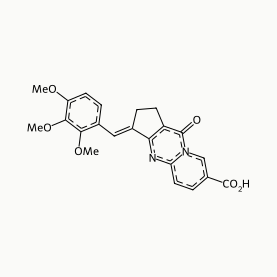 COc1ccc(/C=C2\CCc3c2nc2ccc(C(=O)O)cn2c3=O)c(OC)c1OC